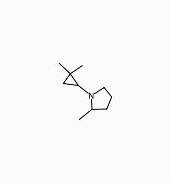 CC1CCCN1C1CC1(C)C